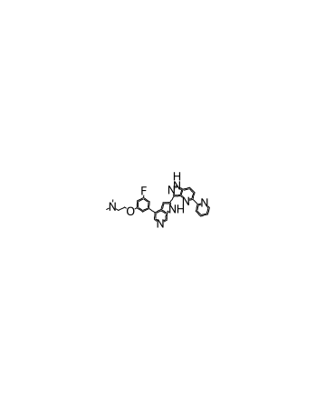 CN(C)CCOc1cc(F)cc(-c2cncc3[nH]c(-c4n[nH]c5ccc(-c6ccccn6)nc45)cc23)c1